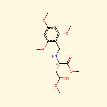 COC(=O)C[C@H](NCc1c(OC)cc(OC)cc1OC)C(=O)OC